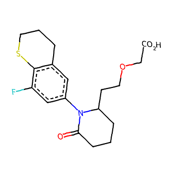 O=C(O)COCCC1CCCC(=O)N1c1cc(F)c2c(c1)CCCS2